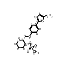 Cc1cnc(-c2ccc(OC[C@H]3OCCC[C@@H]3NS(C)(=O)=O)cc2)s1